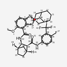 COc1ccc2nc(N3C4CCCC3COC4)sc2c1C(=O)N[C@@H]1[C@H]2CC[C@H](C2)[C@@H]1C(=O)Nc1ccc(F)c(C(F)(F)F)c1